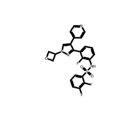 O=S(=O)(Nc1cccc(-c2nn(C3COC3)cc2-c2ccncc2)c1F)c1cccc(F)c1F